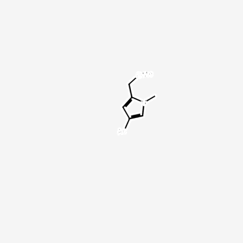 COCc1cc(C(C)=O)cn1C